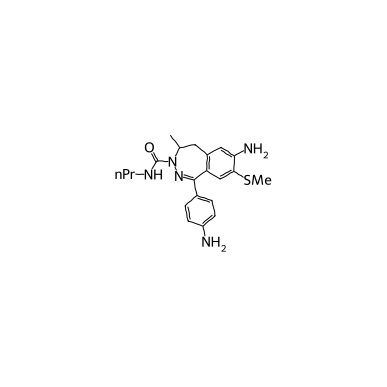 CCCNC(=O)N1N=C(c2ccc(N)cc2)c2cc(SC)c(N)cc2CC1C